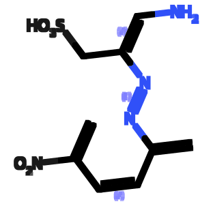 C=C(/C=C\C(=C)[N+](=O)[O-])/N=N/C(=C\N)CS(=O)(=O)O